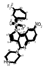 O=[N+]([O-])c1ccc2nc(N3CCNCC3)c3ccn(S(=O)(=O)c4cccc(C(F)(F)F)c4)c3c2c1